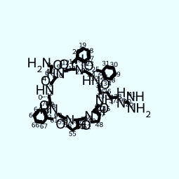 C[C@@H]1NC(=O)[C@H](CC(N)=O)NC(=O)[C@@H](Cc2ccccc2)NC(=O)[C@H](Cc2ccccc2)NC(=O)[C@@H](CCCNC(=N)N)NC(=O)[C@@H]2CCCN2C(=O)[C@H]2CCCN2C(=O)[C@H](Cc2ccccc2)NC1=O